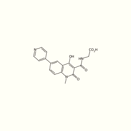 Cn1c(=O)c(C(=O)NCC(=O)O)c(O)c2cc(-c3ccncc3)ccc21